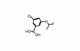 OB(O)c1cc(Cl)cc(OC(F)F)c1